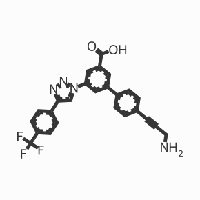 NCC#Cc1ccc(-c2cc(C(=O)O)cc(-n3cc(-c4ccc(C(F)(F)F)cc4)nn3)c2)cc1